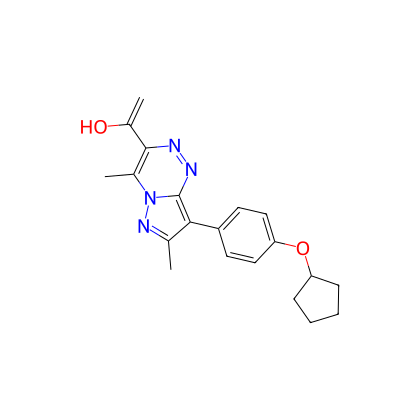 C=C(O)c1nnc2c(-c3ccc(OC4CCCC4)cc3)c(C)nn2c1C